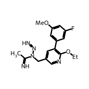 CCOc1ncc(CN(N=N)C(C)=N)cc1-c1cc(F)cc(OC)c1